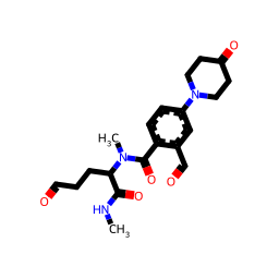 CNC(=O)C(CCC=O)N(C)C(=O)c1ccc(N2CCC(=O)CC2)cc1C=O